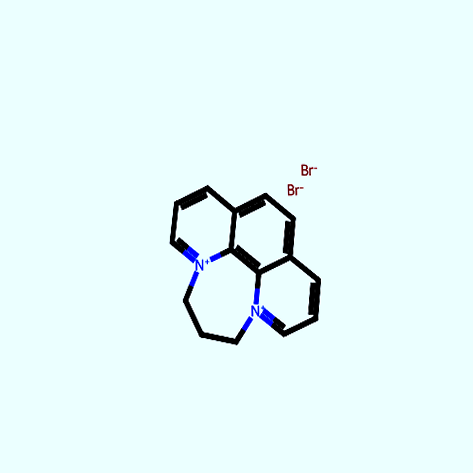 [Br-].[Br-].c1cc2ccc3ccc[n+]4c3c2[n+](c1)CCC4